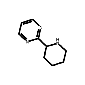 c1cnc(C2CCCCN2)nc1